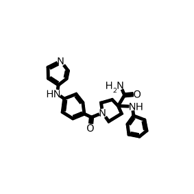 NC(=O)C1(Nc2ccccc2)CCN(C(=O)c2ccc(Nc3ccncc3)cc2)CC1